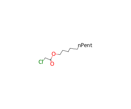 [CH2]CCCCCCCCCOC(=O)CCl